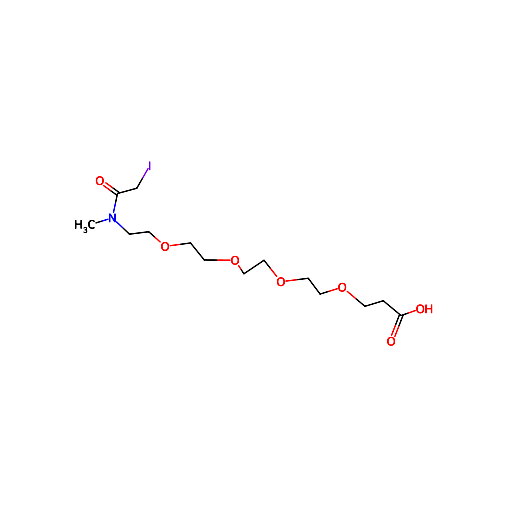 CN(CCOCCOCCOCCOCCC(=O)O)C(=O)CI